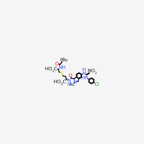 CC(=O)N1Cc2cc(N/C(=C\[N+](=O)[O-])Nc3ccc(Cl)cc3)ccc2C1C(=O)NC(CCSCC(NC(=O)CC(C)(C)C)C(=O)O)C(=O)O